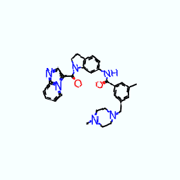 Cc1cc(CN2CCN(C)CC2)cc(C(=O)Nc2ccc3c(c2)N(C(=O)c2cnc4ccccn24)CC3)c1